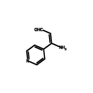 N/C(=C/C=O)c1ccncc1